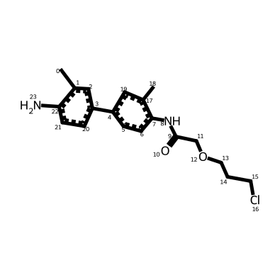 Cc1cc(-c2ccc(NC(=O)COCCCCl)c(C)c2)ccc1N